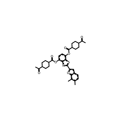 CC(=O)C1CCC(C(=O)Oc2ccc(OC(=O)C3CCC(C(C)=O)CC3)c3sc(-c4cc5ccc(C)c(C)c5o4)nc23)CC1